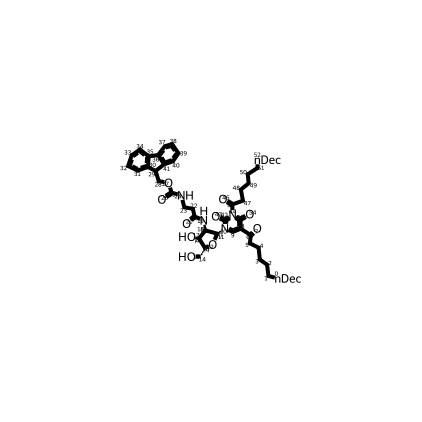 CCCCCCCCCCCCCCCC(=O)c1cn([C@@H]2O[C@H](CO)[C@@H](O)[C@H]2NC(=O)CCNC(=O)OCC2c3ccccc3-c3ccccc32)c(=O)n(C(=O)CCCCCCCCCCCCCCC)c1=O